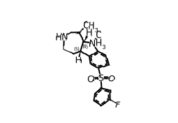 CC1CNCC[C@H]2c3cc(S(=O)(=O)c4cccc(F)c4)ccc3N(C)[C@@H]12